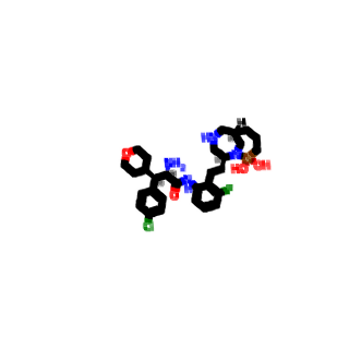 N[C@H](C(=O)Nc1cccc(F)c1CC[C@H]1CNC[C@H]2CCCS(O)(O)N1C2)[C@@H](c1ccc(Cl)cc1)C1CCOCC1